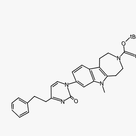 Cn1c2c(c3ccc(-n4ccc(CCc5ccccc5)nc4=O)cc31)CCN(C(=O)OC(C)(C)C)CC2